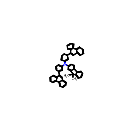 CC1(C)c2ccccc2-c2ccc(N(C3=CC(c4cc5ccccc5c5ccccc45)CC=C3)c3cccc(-c4cc5ccccc5c5ccccc45)c3)cc21